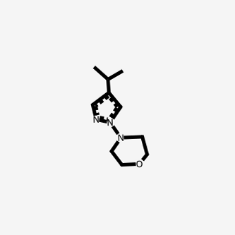 CC(C)c1cnn(N2CCOCC2)c1